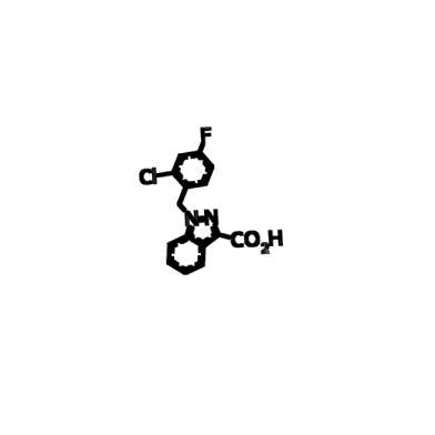 O=C(O)c1nn(Cc2ccc(F)cc2Cl)c2ccccc12